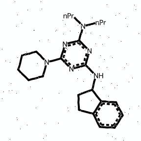 CCCN(CCC)c1nc(NC2CCc3ccccc32)nc(N2CCCCC2)n1